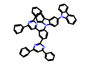 c1ccc(-c2cc(-c3ccccc3)nc(-c3ccc(-n4c5ccccc5c5cc(-n6c7ccccc7c7ccccc76)ccc54)c(-c4cc(-c5ccccc5)nc(-c5ccccc5)n4)c3)n2)cc1